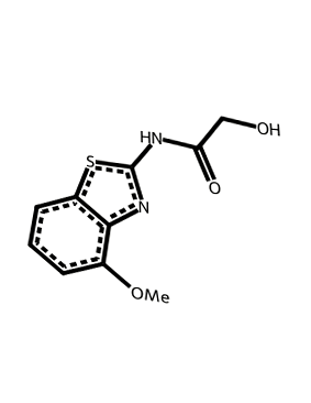 COc1cccc2sc(NC(=O)CO)nc12